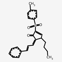 CCCCC1C=C(S(=O)(=O)c2ccc(C)cc2)C(=O)C1=CC=Cc1ccccc1